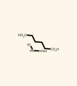 CCCCCCNCC.O=C(O)CCCCC(=O)O